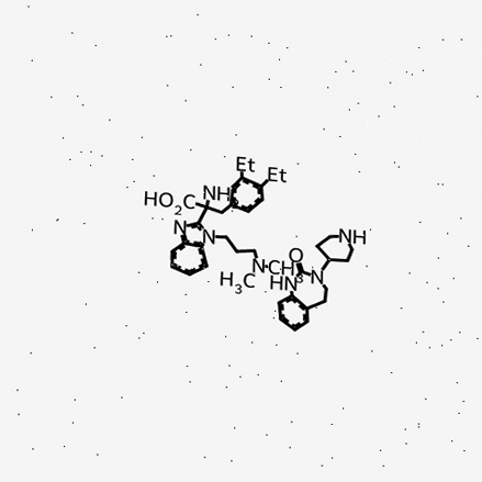 CCc1ccc(CC(N)(C(=O)O)c2nc3ccccc3n2CCCN(C)C)cc1CC.O=C1Nc2ccccc2CCN1C1CCNCC1